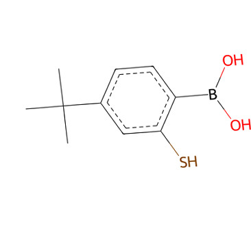 CC(C)(C)c1ccc(B(O)O)c(S)c1